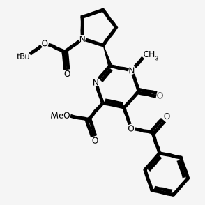 COC(=O)c1nc([C@@H]2CCCN2C(=O)OC(C)(C)C)n(C)c(=O)c1OC(=O)c1ccccc1